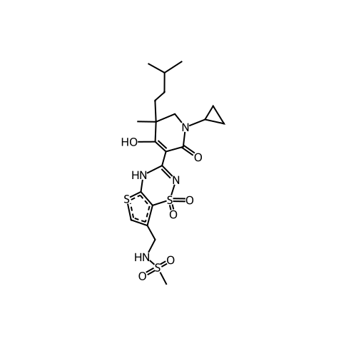 CC(C)CCC1(C)CN(C2CC2)C(=O)C(C2=NS(=O)(=O)c3c(CNS(C)(=O)=O)csc3N2)=C1O